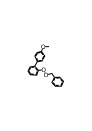 COc1ccc(-c2ccccc2OOCc2ccccc2)cc1